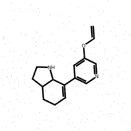 C=COc1cncc(C2=CCCC3CCNC23)c1